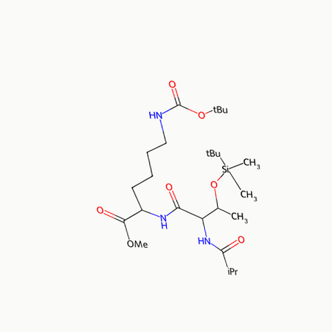 COC(=O)C(CCCCNC(=O)OC(C)(C)C)NC(=O)C(NC(=O)C(C)C)C(C)O[Si](C)(C)C(C)(C)C